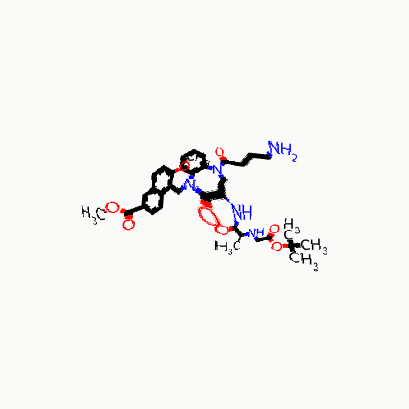 COC(=O)c1ccc2c(CN3C(=O)[C@@H](NC(=O)[C@H](C)NCC(=O)OC(C)(C)C)CN(C(=O)CCCN)c4ccccc43)c(OC)ccc2c1